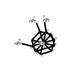 CCC[C]12[CH]3[CH]4[CH]5[CH]1[Fe]45321678[CH]2[CH]1[C]6(CCC)[C]7(CCC)[CH]28